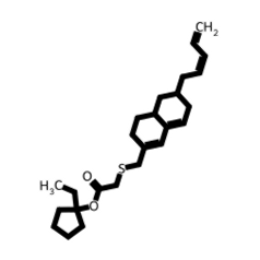 C=C/C=C\CC1CC=C2C=C(CSCC(=O)OC3(CC)CCCC3)CCC2C1